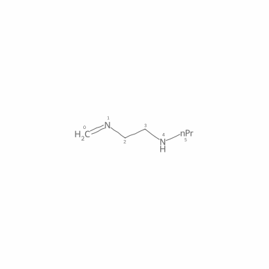 C=NCCNCCC